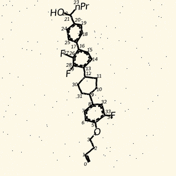 C=CCCOc1ccc(C2CCC(c3ccc(-c4ccc(C(O)CCC)cc4)c(F)c3F)CC2)cc1F